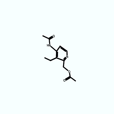 CCc1c(NC(C)=O)ccnc1COC(C)=O